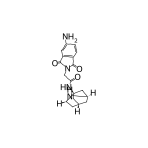 Nc1ccc2c(c1)C(=O)N(CC(=O)N[C@@]13C[C@@H]4C[C@@H](C[C@H](C4)N1)C3)C2=O